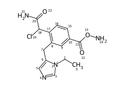 CCn1cncc1Cc1cc(C(=O)ON)ccc1C(Cl)C(N)=O